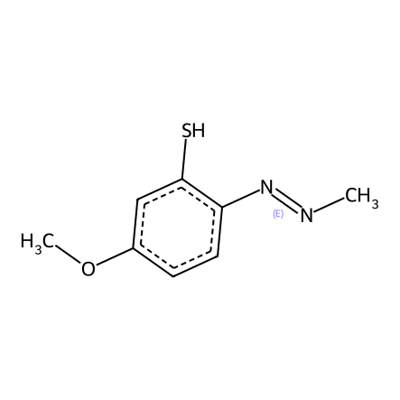 C/N=N/c1ccc(OC)cc1S